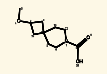 COC1CC2(CCN(C(=O)O)CC2)C1